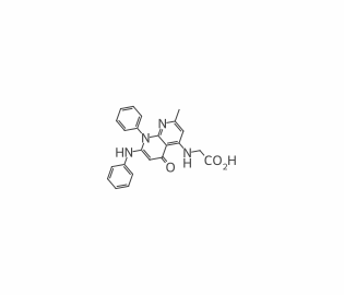 Cc1cc(NCC(=O)O)c2c(=O)cc(Nc3ccccc3)n(-c3ccccc3)c2n1